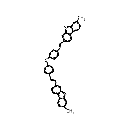 Cc1ccc2c(c1)sc1cc(/C=C/c3ccc(Sc4ccc(/C=C/c5ccc6c(c5)sc5cc(C)ccc56)cc4)cc3)ccc12